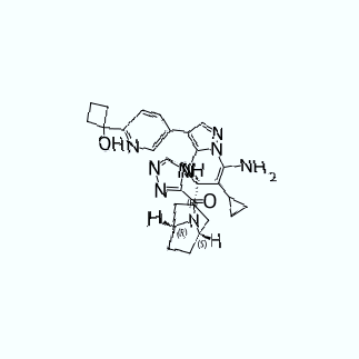 Nc1c(C2CC2)c([C@H]2C[C@H]3CC[C@@H](C2)N3C(=O)c2nnc[nH]2)nc2c(-c3ccc(C4(O)CCC4)nc3)cnn12